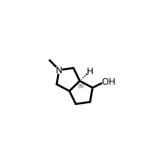 CN1CC2CCC(O)[C@@H]2C1